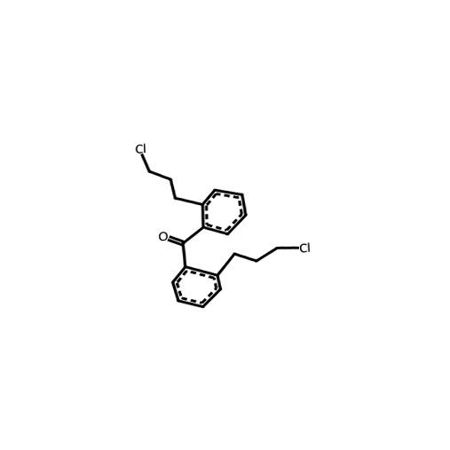 O=C(c1ccccc1CCCCl)c1ccccc1CCCCl